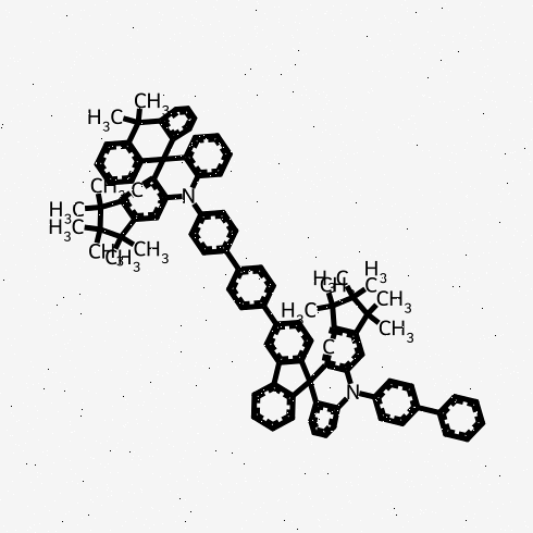 CC1(C)c2ccccc2C2(c3ccccc3N(c3ccc(-c4ccc(-c5ccc6c(c5)-c5ccccc5C65c6ccccc6N(c6ccc(-c7ccccc7)cc6)c6cc7c(cc65)C(C)(C)C(C)(C)C7(C)C)cc4)cc3)c3cc4c(cc32)C(C)(C)C(C)(C)C4(C)C)c2ccccc21